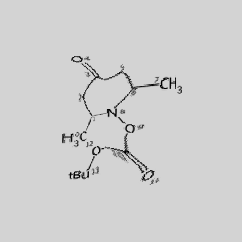 CC1CC(=O)CC(C)N1OC(=O)OC(C)(C)C